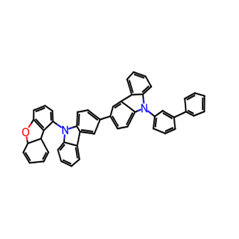 C1=CC2Oc3cccc(-n4c5ccccc5c5cc(-c6ccc7c(c6)c6ccccc6n7-c6cccc(-c7ccccc7)c6)ccc54)c3C2C=C1